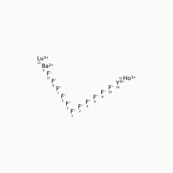 [Ba+2].[F-].[F-].[F-].[F-].[F-].[F-].[F-].[F-].[F-].[F-].[F-].[Ho+3].[Lu+3].[Y+3]